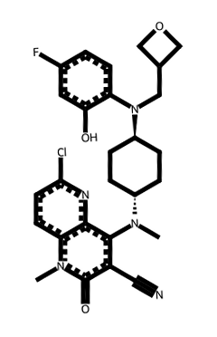 Cn1c(=O)c(C#N)c(N(C)[C@H]2CC[C@H](N(CC3COC3)c3ccc(F)cc3O)CC2)c2nc(Cl)ccc21